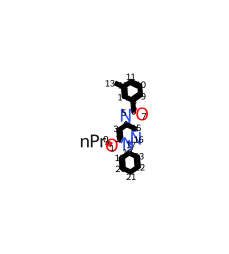 CCCOc1cc(=NC(=O)c2cccc(C)c2)cnn1C1C=CCC=C1